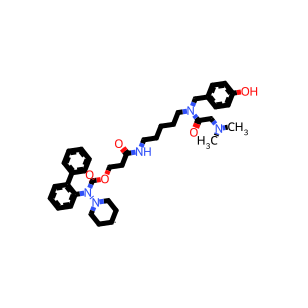 CN(C)CC(=O)N(CCCCCNC(=O)CCOC(=O)N(c1ccccc1-c1ccccc1)N1CC[CH]CC1)Cc1ccc(O)cc1